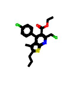 CCCc1sc2nc(CCl)c(C(=O)OCC)c(-c3ccc(Cl)cc3)c2c1C